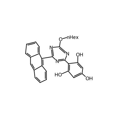 CCCCCCOc1nc(-c2c(O)cc(O)cc2O)nc(-c2c3ccccc3cc3ccccc23)n1